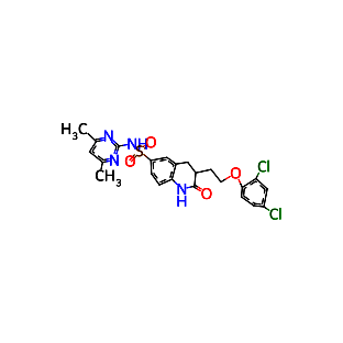 Cc1cc(C)nc(NS(=O)(=O)c2ccc3c(c2)CC(CCOc2ccc(Cl)cc2Cl)C(=O)N3)n1